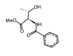 COC(=O)[C@H](NC(=O)c1ccccc1)[C@H](C)O